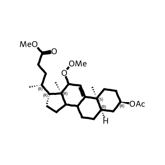 COOC1C=C2C(CC[C@@H]3C[C@H](OC(C)=O)CC[C@]23C)C2CC[C@H]([C@H](C)CCC(=O)OC)[C@@]12C